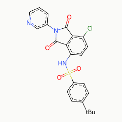 CC(C)(C)c1ccc(S(=O)(=O)Nc2ccc(Cl)c3c2C(=O)N(c2cccnc2)C3=O)cc1